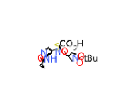 CC(C)(C)OC(=O)N1CCC(COc2nc(-c3ccnc(NC(=O)C4CC4)c3)sc2C(=O)O)CC1